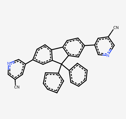 N#Cc1cncc(-c2ccc3c(c2)C(c2ccccc2)(c2ccccc2)c2cc(-c4cncc(C#N)c4)ccc2-3)c1